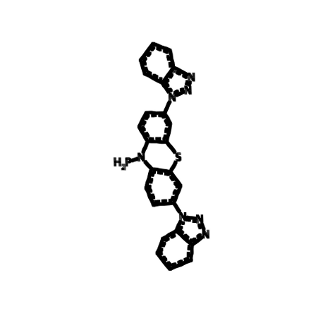 PN1c2ccc(-n3nnc4ccccc43)cc2Sc2cc(-n3nnc4ccccc43)ccc21